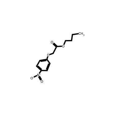 CCCCOC(=O)COc1ccc([N+](=O)[O-])cc1